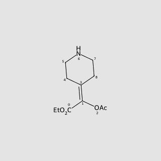 CCOC(=O)C(OC(C)=O)=C1CCNCC1